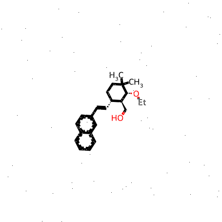 CCO[C@@H]1[C@@H](CO)[C@H](C=Cc2ccc3ccccc3c2)CCC1(C)C